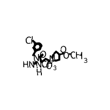 CCOC(=O)C1CCN(C(=O)CC2(C)NC(=N)N(Cc3cccc(Cl)c3)C2=O)CC1